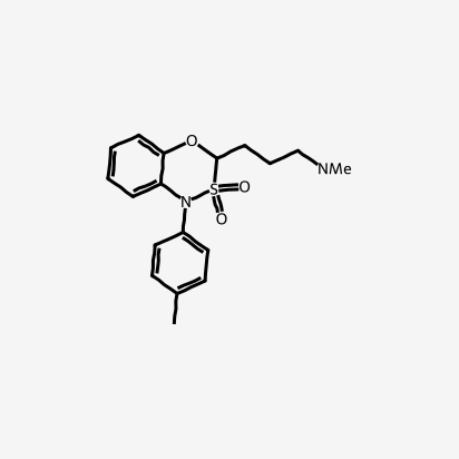 CNCCCC1Oc2ccccc2N(c2ccc(C)cc2)S1(=O)=O